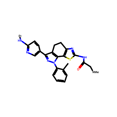 CCNc1ccc(-c2nn(-c3ccccc3C)c3c2CCc2nc(NC(=O)CNC)sc2-3)cn1